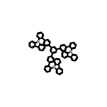 c1ccc(-n2c3ccccc3c3ccccc32)c(-c2ccc(-c3cc(-c4ccc(-c5ccccc5-n5c6ccccc6c6ccccc65)cc4)cc(-c4ccc(-c5ccccc5-n5c6ccccc6c6ccccc65)cc4)c3)cc2)c1